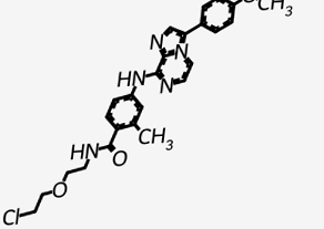 COc1ccc(-c2cnc3c(Nc4ccc(C(=O)NCCOCCCl)c(C)c4)nccn23)cc1